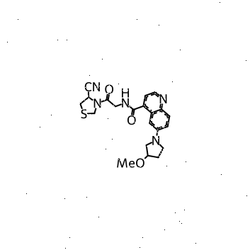 COC1CCN(c2ccc3nccc(C(=O)NCC(=O)N4CSCC4C#N)c3c2)C1